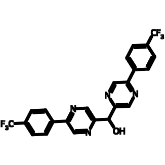 OC(c1cnc(-c2ccc(C(F)(F)F)cc2)cn1)c1cnc(-c2ccc(C(F)(F)F)cc2)cn1